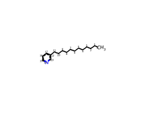 CCCCCCCCCCCCc1[c]nccc1